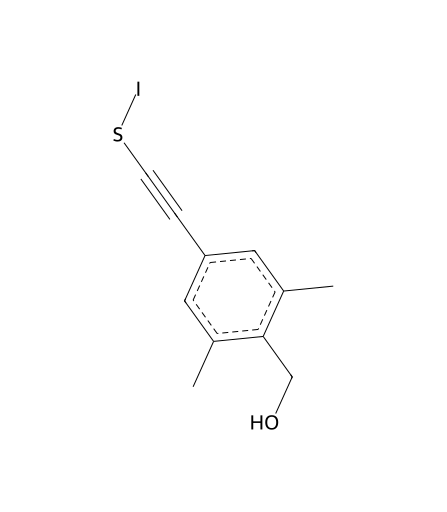 Cc1cc(C#CSI)cc(C)c1CO